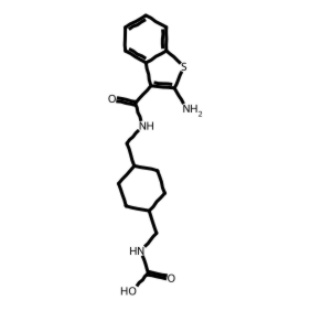 Nc1sc2ccccc2c1C(=O)NCC1CCC(CNC(=O)O)CC1